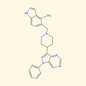 Cc1c(CN2CCC(c3cn(-c4ccccc4)c4cncnc34)CC2)ccc2[nH]ccc12